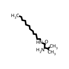 CCCCCCCCCCCCNC(=O)[C@@H](N)C(C)C